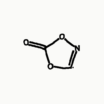 O=c1o[c]no1